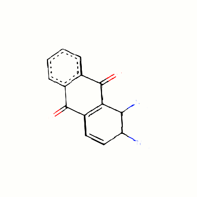 NC1C=CC2=C(C(=O)c3ccccc3C2=O)C1N